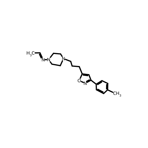 C/C=N/N1CCN(CCCc2cc(-c3ccc(C)cc3)no2)CC1